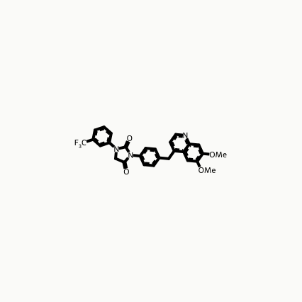 COc1cc2nccc(Cc3ccc(N4C(=O)CN(c5cccc(C(F)(F)F)c5)C4=O)cc3)c2cc1OC